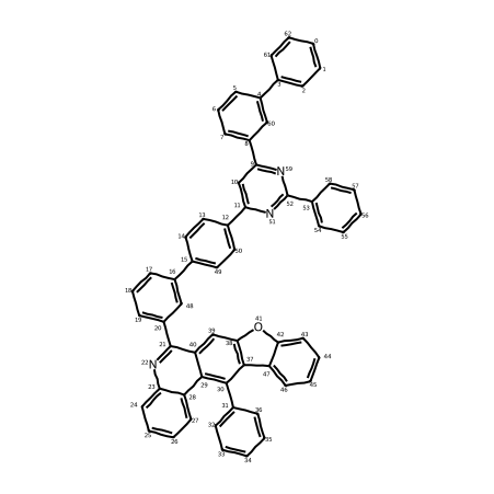 c1ccc(-c2cccc(-c3cc(-c4ccc(-c5cccc(-c6nc7ccccc7c7c(-c8ccccc8)c8c(cc67)oc6ccccc68)c5)cc4)nc(-c4ccccc4)n3)c2)cc1